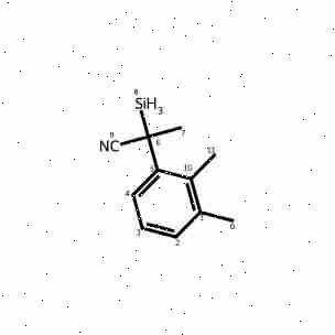 Cc1cccc(C(C)([SiH3])C#N)c1C